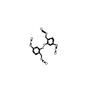 O=C=NCc1ccc(N=C=O)cc1SSc1cc(N=C=O)ccc1CN=C=O